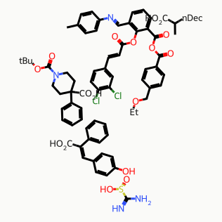 CC(C)(C)OC(=O)N1CCC(C(=O)O)(c2ccccc2)CC1.CCCCCCCCCCC(C)C(=O)O.CCOCc1ccc(C(=O)OC(=O)c2cccc(C=Nc3ccc(C)cc3)c2OC(=O)C=Cc2ccc(Cl)c(Cl)c2)cc1.N=C(N)S(=O)O.O=C(O)C(=Cc1ccc(O)cc1)c1ccccc1